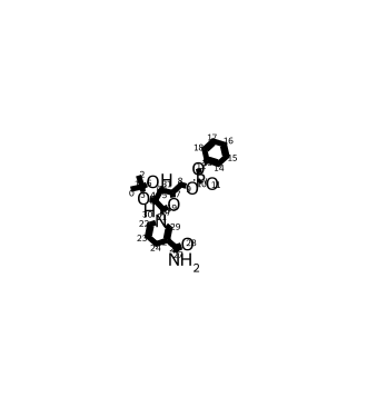 CC1(C)O[C@@H]2[C@H](O1)C(CO[P](=O)Oc1ccccc1)O[C@H]2N1C=CCC(C(N)=O)=C1